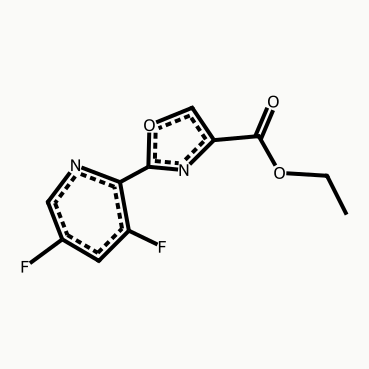 CCOC(=O)c1coc(-c2ncc(F)cc2F)n1